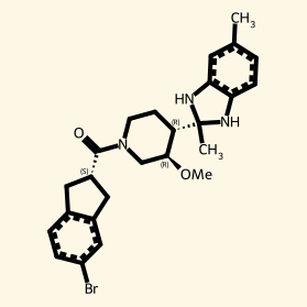 CO[C@H]1CN(C(=O)[C@H]2Cc3ccc(Br)cc3C2)CC[C@@H]1C1(C)Nc2ccc(C)cc2N1